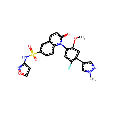 COc1cc(-c2cnn(C)c2)c(F)cc1-n1c(=O)ccc2cc(S(=O)(=O)Nc3ccon3)ccc21